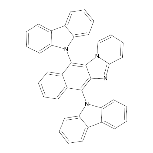 c1ccc2c(-n3c4ccccc4c4ccccc43)c3c(nc4ccccn43)c(-n3c4ccccc4c4ccccc43)c2c1